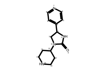 O=C1NC(c2ccncc2)CN1C1CCNCC1